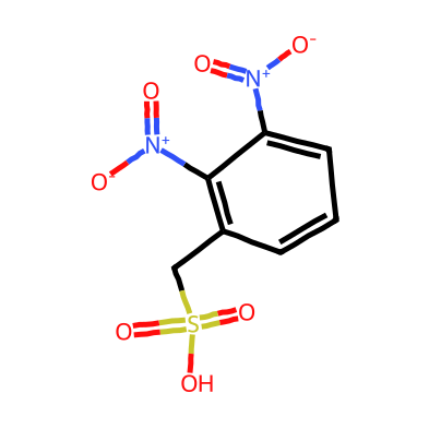 O=[N+]([O-])c1cccc(CS(=O)(=O)O)c1[N+](=O)[O-]